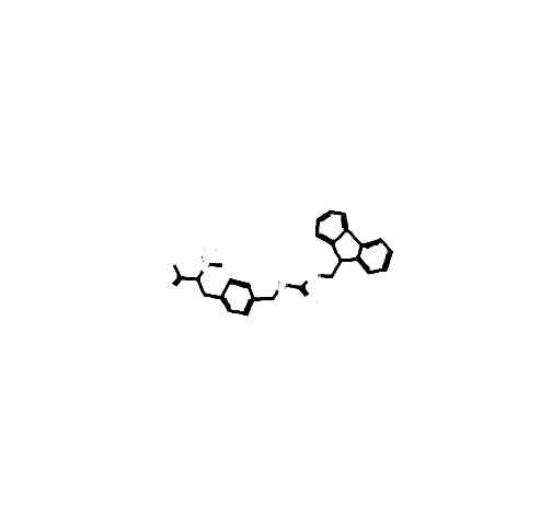 CCC(=O)C(Cc1ccc(CNC(=O)OCC2c3ccccc3-c3ccccc32)cc1)N(C)C=O